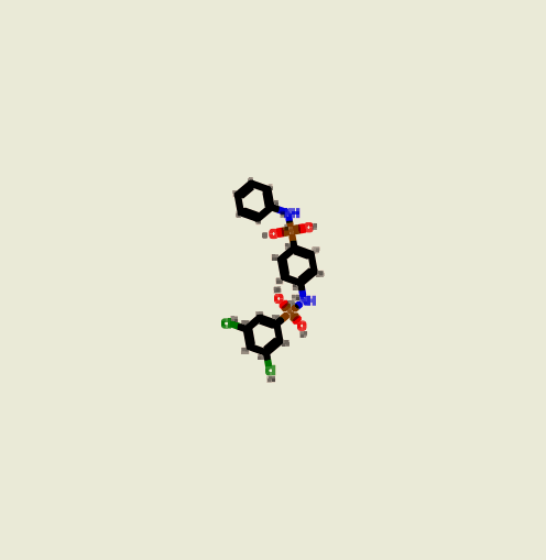 O=S(=O)(Nc1ccccc1)c1ccc(NS(=O)(=O)c2cc(Cl)cc(Cl)c2)cc1